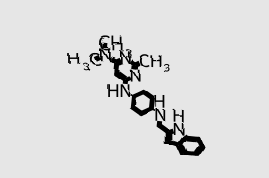 Cc1nc(N[C@H]2CC[C@@H](NCc3cc4ccccc4[nH]3)CC2)cc(N(C)C)n1